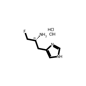 Cl.Cl.N[C@@H](CF)Cc1c[nH]cn1